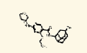 CCOc1nc(N[C@H]2CCOC2)ncc1C(=O)NC1C2CC3CC1CC(O)(C3)C2